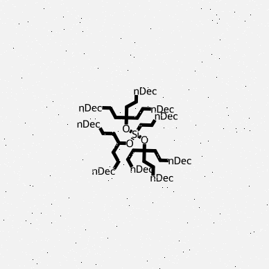 CCCCCCCCCCCCC(CCCCCCCCCCCC)O[Si](CCCCCCCCCCCC)(OC(CCCCCCCCCCCC)(CCCCCCCCCCCC)CCCCCCCCCCCC)OC(CCCCCCCCCCCC)(CCCCCCCCCCCC)CCCCCCCCCCCC